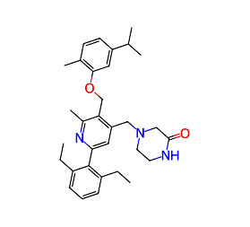 CCc1cccc(CC)c1-c1cc(CN2CCNC(=O)C2)c(COc2cc(C(C)C)ccc2C)c(C)n1